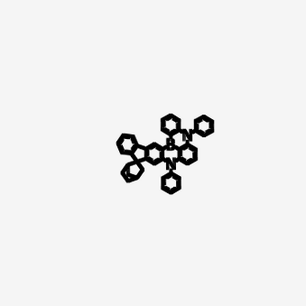 c1ccc(N2c3ccccc3B3c4cc5c(cc4N(c4ccccc4)c4cccc2c43)C2(CC3CCC2C3)c2ccccc2-5)cc1